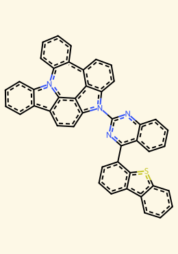 c1ccc2c(-c3cccc4c3sc3ccccc34)nc(-n3c4cccc5c6ccccc6n6c7ccccc7c7ccc3c(c54)c76)nc2c1